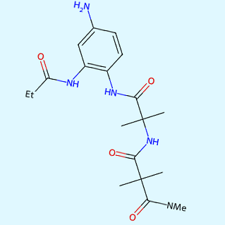 CCC(=O)Nc1cc(N)ccc1NC(=O)C(C)(C)NC(=O)C(C)(C)C(=O)NC